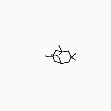 CC1(F)CC2CC(F)CC(C)(C1)N2O